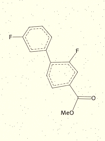 COC(=O)c1ccc(-c2cccc(F)c2)c(F)c1